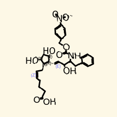 O=C(O)CCC/C=C\C[C@@H]1[C@@H](/C=C/C(O)C(Cc2ccccc2)NC(=O)OCc2ccc([N+](=O)[O-])cc2)[C@H](O)C[C@@H]1O